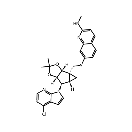 CNc1ccc2ccc(SC[C@]34C[C@@H]3[C@@H](n3ccc5c(Cl)ncnc53)[C@@H]3OC(C)(C)O[C@@H]34)cc2n1